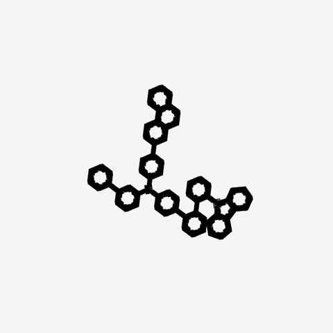 c1ccc(-c2cccc(N(c3ccc(-c4ccc5c(ccc6ccccc65)c4)cc3)c3ccc(-c4ccccc4-c4ccccc4-n4c5ccccc5c5ccccc54)cc3)c2)cc1